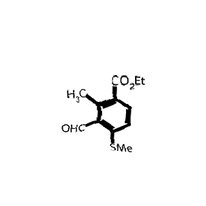 CCOC(=O)c1ccc(SC)c(C=O)c1C